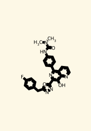 CN(C)C(=O)Nc1ccc(-c2nc(-c3nnc(Cc4ccc(F)cc4)o3)c(O)c3ncccc23)cc1